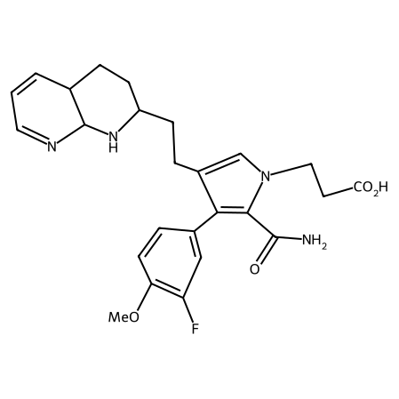 COc1ccc(-c2c(CCC3CCC4C=CC=NC4N3)cn(CCC(=O)O)c2C(N)=O)cc1F